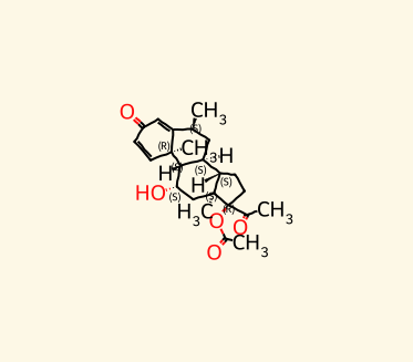 CC(=O)O[C@]1(C(C)=O)CC[C@H]2[C@@H]3C[C@H](C)C4=CC(=O)C=C[C@]4(C)[C@H]3[C@@H](O)C[C@@]21C